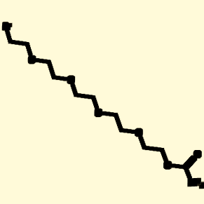 NC(=O)OCCOCCOCCOCCOCCBr